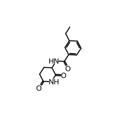 CCc1cccc(C(=O)NC2CCC(=O)NC2=O)c1